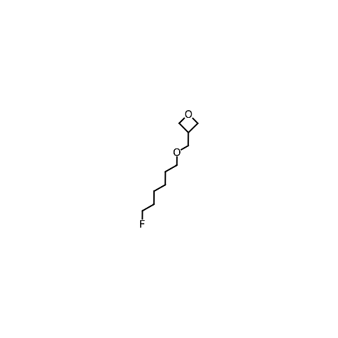 FCCCCCCOCC1COC1